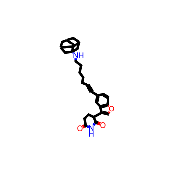 O=C1CCC(c2coc3ccc(C#CCCCCCNC45CC6CC(CC(C6)C4)C5)cc23)C(=O)N1